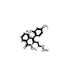 CC(=O)OOCCc1c(-c2ccc(C)cc2C)c2ccccc2c(=O)n1C